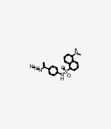 C=C(N=[N+]=[N-])c1ccc(NS(=O)(=O)c2cccc3c(N(C)C)cccc23)cc1